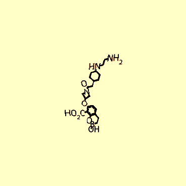 NCCN[C@H]1CC[C@@H](CC(=O)N2CC(Oc3ccc4c(c3C(=O)O)OB(O)CC4)C2)CC1